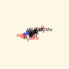 COC(=O)C1CC=C(C2=CC[C@]3(C)[C@H]4CC[C@@H]5[C@H]6[C@H](C(C)(C)O)CC[C@]6(NCCN6CCS(O)(O)CC6)CC[C@@]5(C)[C@]4(C)CC[C@H]3C2(C)C)CC1